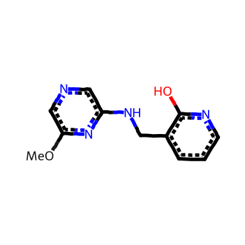 COc1cncc(NCc2cccnc2O)n1